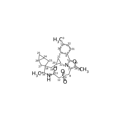 Cc1ccc(-c2nc(CS(=O)(=O)CC(=O)NC(C)C3(CC4CC4)CC4CC4C3)c(C)o2)cc1